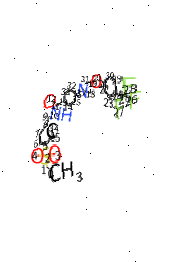 CCS(=O)(=O)c1ccc(CNC(=O)c2ccc(N3CC(Oc4ccc(C(F)(F)F)cc4)C3)cc2)cc1